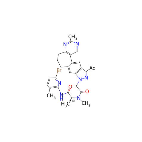 CC(=O)c1nn(CC(=O)N(C)[C@@H](C)C(=O)Nc2nc(Br)ccc2C)c2cc3c(cc12)-c1cnc(C)nc1CCC3